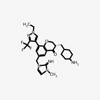 CCn1cc(-c2cc(Cn3ccn(C)c3=N)cc3c2OC[C@H](CC2CCC(N)CC2)C3=O)c(C(F)(F)F)n1